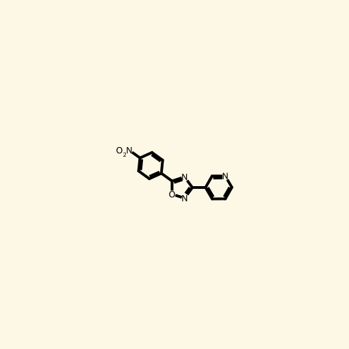 O=[N+]([O-])c1ccc(-c2nc(-c3cccnc3)no2)cc1